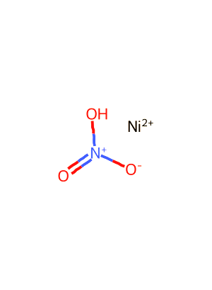 O=[N+]([O-])O.[Ni+2]